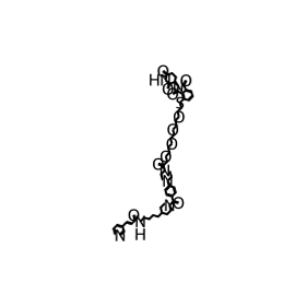 O=C(/C=C/c1cccnc1)NCCCCC1CCN(C(=O)c2ccc(N3CCN(C(=O)COCCOCCOCCOCCSc4cccc5c4C(=O)N(C4CCC(=O)NC4=O)C5=O)CC3)cc2)CC1